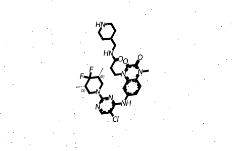 C[C@@H]1CN(c2ncc(Cl)c(Nc3ccc4c(c3)n(CCC(=O)NCC3CCNCC3)c(=O)c(=O)n4C)n2)C[C@H](C)C1(F)F